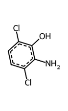 Nc1c(Cl)ccc(Cl)c1O